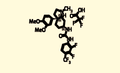 COc1ccc([C@@]23CC[C@@H](NC(=O)Nc4ccc(C(F)(F)F)c(F)c4F)C[C@@H]2N(C)CC3)cc1OC.O=C(O)C(F)(F)F